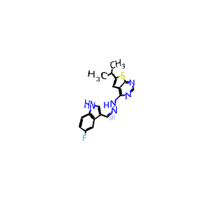 CC(C)c1cc2c(N/N=C\c3c[nH]c4ccc(F)cc34)ncnc2s1